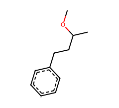 COC(C)CCc1cc[c]cc1